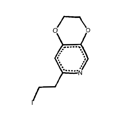 ICCc1cc2c(cn1)OCCO2